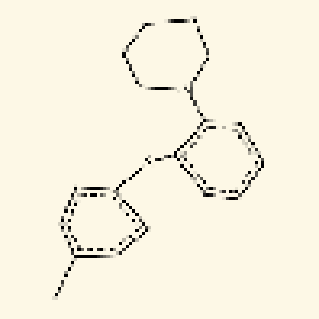 Cc1ccc(Sc2ccccc2N2CCCCC2)cc1